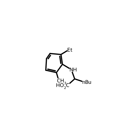 CCCCC(Nc1c(C)cccc1CC)C(=O)O